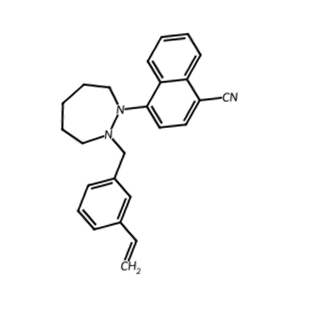 C=Cc1cccc(CN2CCCCCN2c2ccc(C#N)c3ccccc23)c1